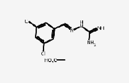 CC(=O)O.N=C(N)NN=Cc1cc(Cl)cc(Cl)c1